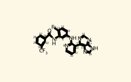 O=C(Nc1cc(Nc2ncccc2-c2ncnc3[nH]cnc23)ccc1F)c1cccc(C(F)(F)F)c1